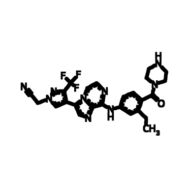 CCc1cc(Nc2nccn3c(-c4cn(CC#N)nc4C(F)(F)F)cnc23)ccc1C(=O)N1CCNCC1